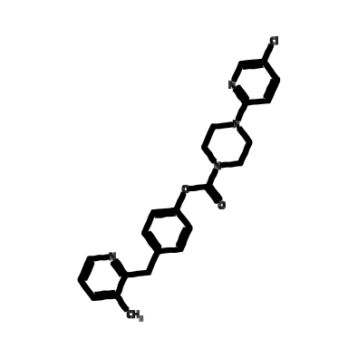 Cc1cccnc1Cc1ccc(OC(=O)N2CCN(c3ccc(Cl)cn3)CC2)cc1